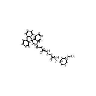 CCC(C)CN1CCC[C@H](CNC(=O)CCNC(=O)CNC(=O)CC(c2ccccc2)(c2ccccc2)c2ccccc2)C1